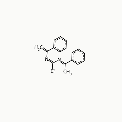 C=C(/N=C(Cl)\N=C(/C)c1ccccc1)c1ccccc1